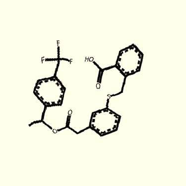 CC(OC(=O)Cc1cccc(SCc2ccccc2C(=O)O)c1)c1ccc(C(F)(F)F)cc1